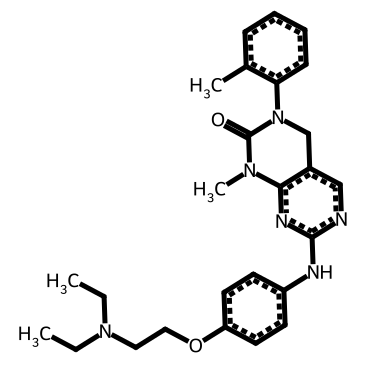 CCN(CC)CCOc1ccc(Nc2ncc3c(n2)N(C)C(=O)N(c2ccccc2C)C3)cc1